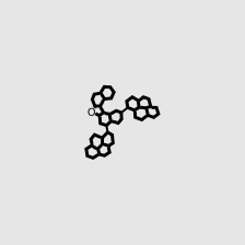 c1ccc2c(c1)ccc1oc3cc(-c4ccc5ccc6cccc7ccc4c5c67)c4ccc(-c5ccc6ccc7cccc8ccc5c6c78)cc4c3c12